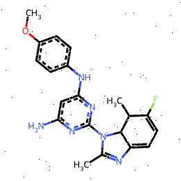 COc1ccc(Nc2cc(N)nc(N3C(C)=NC4=CC=C(F)C(C)C43)n2)cc1